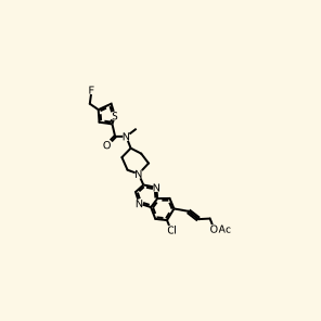 CC(=O)OCC#Cc1cc2nc(N3CCC(N(C)C(=O)c4cc(CF)cs4)CC3)cnc2cc1Cl